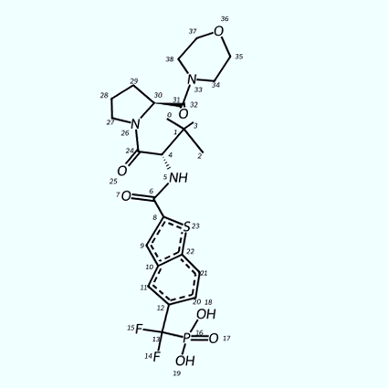 CC(C)(C)[C@H](NC(=O)c1cc2cc(C(F)(F)P(=O)(O)O)ccc2s1)C(=O)N1CCC[C@H]1C(=O)N1CCOCC1